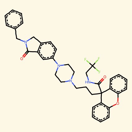 O=C1c2cc(N3CCN(CCCC4(C(=O)NCC(F)(F)F)c5ccccc5Oc5ccccc54)CC3)ccc2CN1Cc1ccccc1